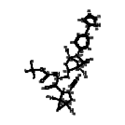 CC(C)(C)OC(=O)N[C@@H](CN1C[C@@H]2C[C@H]1C(=O)N2c1ccc(-c2nnn[nH]2)cc1)C(=O)N1[C@H](C#N)C[C@@H]2C[C@@H]21